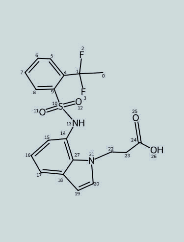 CC(F)(F)c1ccccc1S(=O)(=O)Nc1cccc2ccn(CCC(=O)O)c12